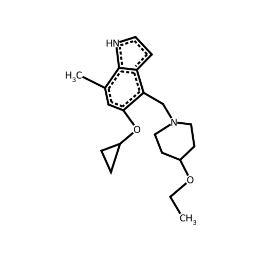 CCOC1CCN(Cc2c(OC3CC3)cc(C)c3[nH]ccc23)CC1